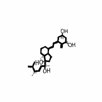 C=C1C(=CC=C2CCC[C@@]3(C)C2CC[C@@]3(O)[C@@](C)(O)C=C[C@H](C)C(C)C)C[C@@H](O)C[C@H]1O